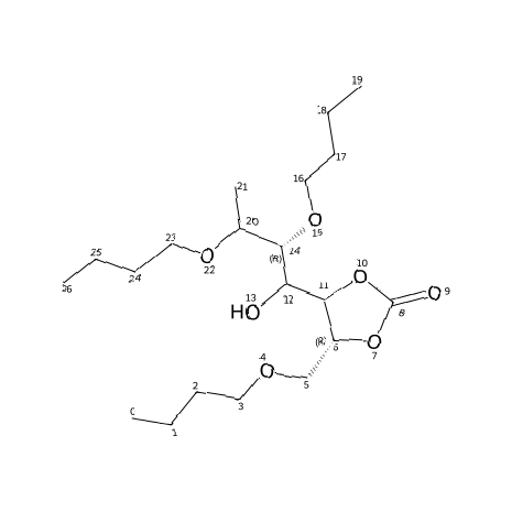 CCCCOC[C@H]1OC(=O)OC1C(O)[C@@H](OCCCC)C(C)OCCCC